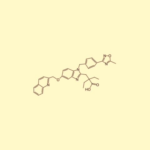 CCC(CC)(Cc1nc2cc(OCc3ccc4ccccc4n3)ccc2n1Cc1ccc(-c2noc(C)n2)cc1)C(=O)O